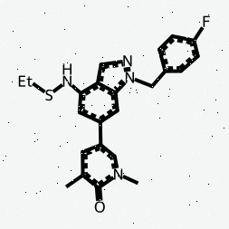 CCSNc1cc(-c2cc(C)c(=O)n(C)c2)cc2c1cnn2Cc1ccc(F)cc1